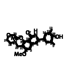 COc1cc2cc(-c3cc(C)c(O)c(C)c3)[nH]c(=O)c2c(OC)c1CN1CCOCC1